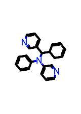 C1=CCC(C(c2cccnc2)N(c2ccccc2)c2cccnc2)C=C1